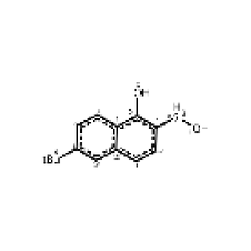 CC(C)(C)c1ccc2c(O)c([SiH2]O)ccc2c1